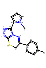 Cc1ccc(C2=Nn3c(nnc3-c3cccn3C)SC2)cc1